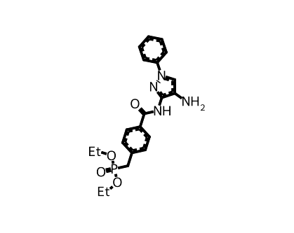 CCOP(=O)(Cc1ccc(C(=O)Nc2nn(-c3ccccc3)cc2N)cc1)OCC